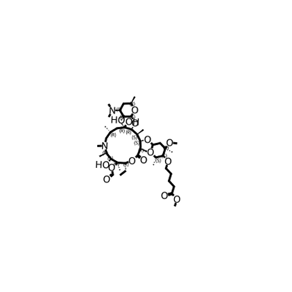 CC[C@H]1OC(=O)[C@H](C)[C@@H](OC2C[C@@](C)(OC)[C@@H](OCCCCC(=O)OC)[C@H](C)O2)[C@H](C)[C@@H](O[C@@H]2O[C@H](C)C[C@H](N(C)C)[C@H]2O)[C@](C)(O)C[C@@H](C)CN(C)[C@H](C)[C@H](O)[C@]1(C)OC=O